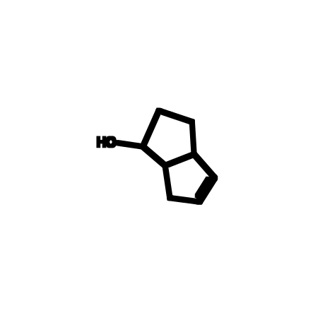 OC1CCC2C=CCC12